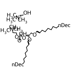 CCCCCCCCCCCCCCCCC=COC[C@H](COP(=O)(O)OCC[N+](C)(C)C)OC=CCCCCCCCCCCCCCCCC.C[N+](C)(C)CCO